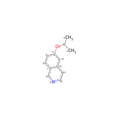 CC(C)Oc1ccc2cnccc2c1